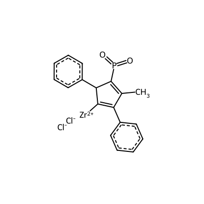 CC1=C(P(=O)=O)C(c2ccccc2)[C]([Zr+2])=C1c1ccccc1.[Cl-].[Cl-]